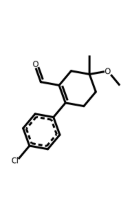 COC1(C)CCC(c2ccc(Cl)cc2)=C(C=O)C1